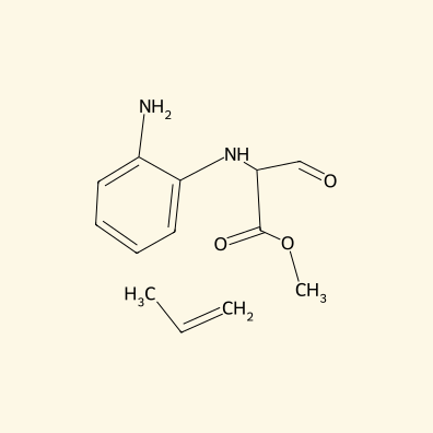 C=CC.COC(=O)C(C=O)Nc1ccccc1N